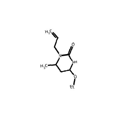 C=CCN1C(=O)NC(OCC)CC1C